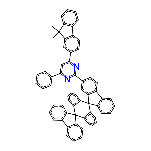 CC1(C)c2ccccc2-c2ccc(-c3cc(-c4ccccc4)nc(-c4ccc5c(c4)C4(c6ccccc6-5)c5ccccc5C5(c6ccccc6-c6ccccc65)c5ccccc54)n3)cc21